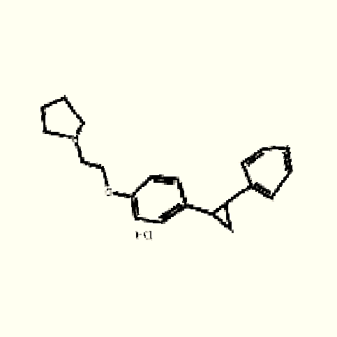 Cl.c1ccc(C2CC2c2ccc(OCCN3CCCC3)cc2)cc1